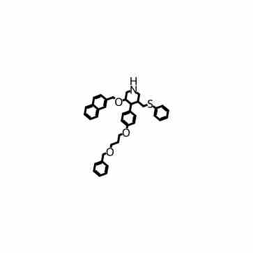 c1ccc(COCCCOc2ccc(C3C(CSc4ccccc4)CNCC3OCc3ccc4ccccc4c3)cc2)cc1